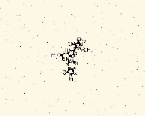 CCn1nc(C)c(Cl)c1C(=O)N[C@@H](CC(C)C)C(=O)N[C@H](C#N)C[C@@H]1CCNC1=O